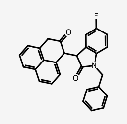 O=C1Cc2cccc3cccc(c23)C1C1C(=O)N(Cc2ccccc2)c2ccc(F)cc21